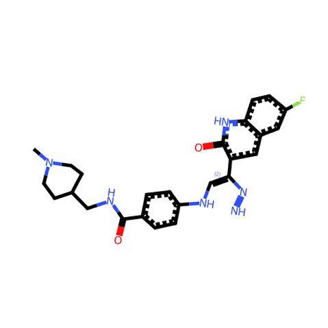 CN1CCC(CNC(=O)c2ccc(N/C=C(\N=N)c3cc4cc(F)ccc4[nH]c3=O)cc2)CC1